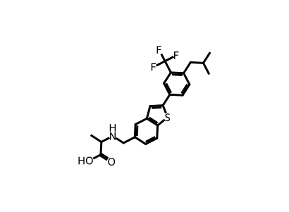 CC(C)Cc1ccc(-c2cc3cc(CNC(C)C(=O)O)ccc3s2)cc1C(F)(F)F